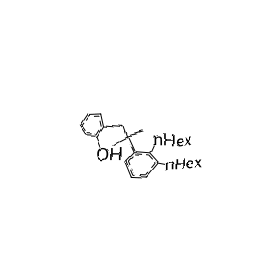 CCCCCCc1cccc(C(C)(C)Cc2ccccc2O)c1CCCCCC